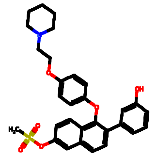 CS(=O)(=O)Oc1ccc2c(Oc3ccc(OCCN4CCCCC4)cc3)c(-c3cccc(O)c3)ccc2c1